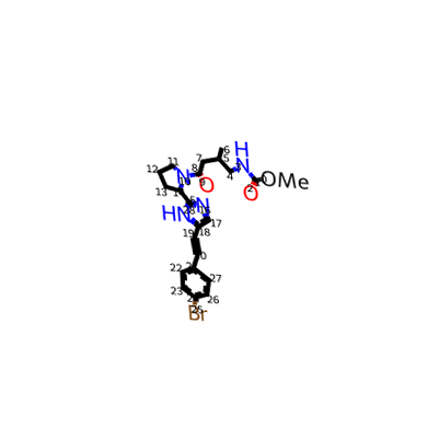 COC(=O)NCC(C)CC(=O)N1CCCC1c1ncc(C#Cc2ccc(Br)cc2)[nH]1